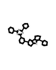 c1ccc(-c2nc(-c3ccccc3)nc(-c3cccc(-c4ccc5sc6c(-c7ccccc7)cccc6c5c4)c3)n2)cc1